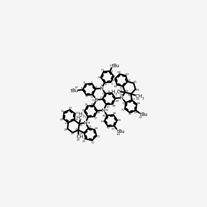 CC(C)(C)c1ccc(N2c3ccc(C(C)(C)C)cc3B3c4ccc(N5c6ccccc6C6(C)CCc7ccccc7C56C)cc4N(c4ccc(C(C)(C)C)cc4)c4cc(N5c6ccc(C(C)(C)C)cc6C6(C)CCc7ccccc7C56C)cc2c43)cc1